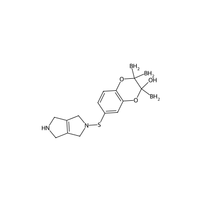 BC1(B)Oc2ccc(SN3CC4=C(CNC4)C3)cc2OC1(B)O